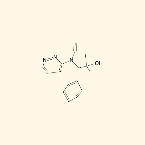 C#CN(CC(C)(C)O)c1cccnn1.c1ccccc1